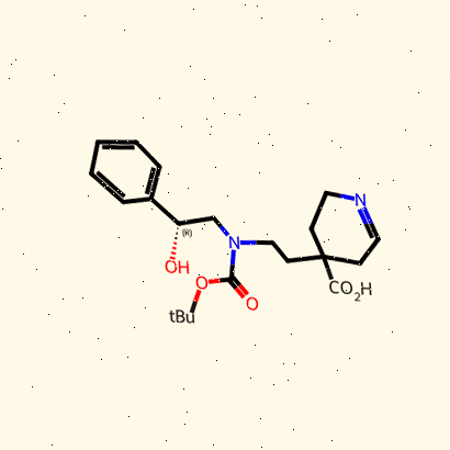 CC(C)(C)OC(=O)N(CCC1(C(=O)O)CC=NCC1)C[C@H](O)c1ccccc1